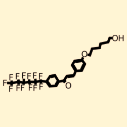 O=C(C=Cc1ccc(OCCCCCCO)cc1)c1ccc(C(F)(F)C(F)(F)C(F)(F)C(F)(F)C(F)(F)C(F)(F)F)cc1